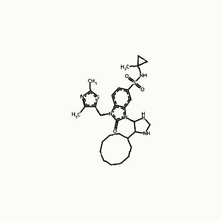 Cc1nc(C)c(Cn2c(=O)n(C3NCNC3C3CCCCCCCCC3)c3cc(S(=O)(=O)NC4(C)CC4)ccc32)s1